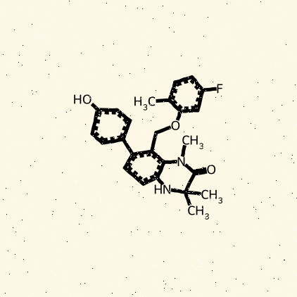 Cc1ccc(F)cc1OCc1c(-c2ccc(O)cc2)ccc2c1N(C)C(=O)C(C)(C)N2